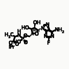 CC(C)OC(=O)C(C)NP(=O)(O)OC[C@H]1O[C@@H](n2cnc3c(N)nc(F)nc32)[C@H](O)C1O